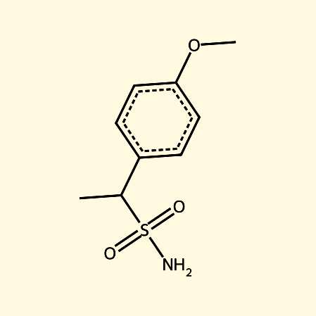 COc1ccc(C(C)S(N)(=O)=O)cc1